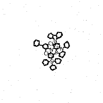 Cc1cc(-c2ccccc2)cc(C)c1N1c2ccc([Si](c3ccccc3)(c3ccccc3)c3ccccc3)cc2B2c3ccccc3N(c3ccccc3)c3cc(-n4c5ccccc5c5ccccc54)cc1c32